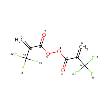 C=C(C(=O)OOC(=O)C(=C)C(F)(F)F)C(F)(F)F